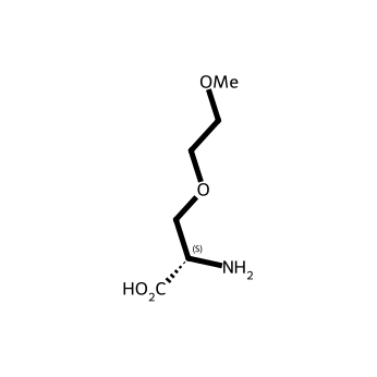 COCCOC[C@H](N)C(=O)O